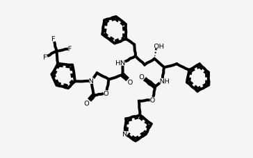 O=C(NC(Cc1ccccc1)[C@@H](O)CC(Cc1ccccc1)NC(=O)C1CN(c2cccc(C(F)(F)F)c2)C(=O)O1)OCc1cccnc1